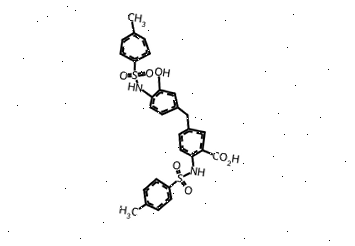 Cc1ccc(S(=O)(=O)Nc2ccc(Cc3ccc(NS(=O)(=O)c4ccc(C)cc4)c(C(=O)O)c3)cc2O)cc1